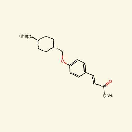 CCCCCCC[C@H]1CC[C@H](COc2ccc(C=CC(=O)OC)cc2)CC1